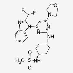 CS(=O)(=O)N[C@H]1CC[C@H](Nc2nc(N3CCOCC3)cc(-n3c(C(F)F)nc4ccccc43)n2)CC1